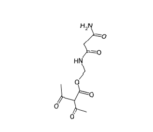 CC(=O)C(C(C)=O)C(=O)OCNC(=O)CC(N)=O